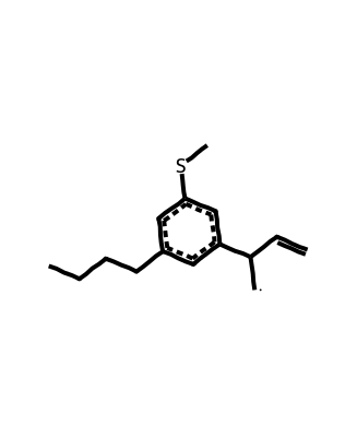 [CH2]C(C=C)c1cc(CCCC)cc(SC)c1